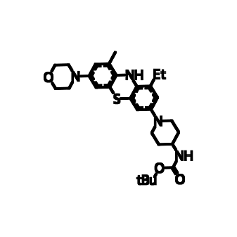 CCc1cc(N2CCC(NC(=O)OC(C)(C)C)CC2)cc2c1Nc1c(C)cc(N3CCOCC3)cc1S2